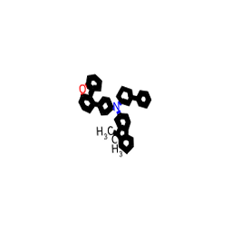 CC1(C)c2ccccc2-c2ccc(N(C3=CC(c4ccccc4)=CCC3)c3ccc(-c4cccc5oc6ccccc6c45)cc3)cc21